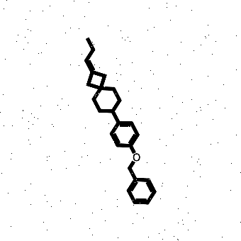 CCC=C1CC2(CCC(c3ccc(OCc4ccccc4)cc3)CC2)C1